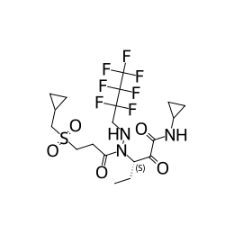 CC[C@@H](C(=O)C(=O)NC1CC1)N(NCC(F)(F)C(F)(F)C(F)(F)F)C(=O)CCS(=O)(=O)CC1CC1